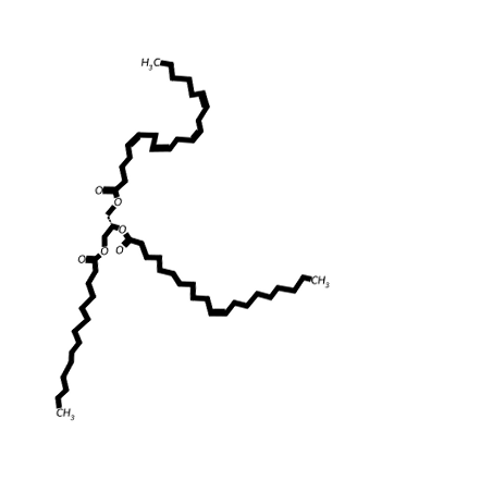 CCCCC/C=C\C/C=C\C/C=C\C/C=C\CCCC(=O)OC[C@@H](COC(=O)CCCCCCCCCCCCC)OC(=O)CCCCCCCCC/C=C\CCCCCCCC